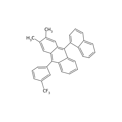 Cc1cc2c(-c3cccc(C(F)(F)F)c3)c3ccccc3c(-c3cccc4ccccc34)c2cc1C